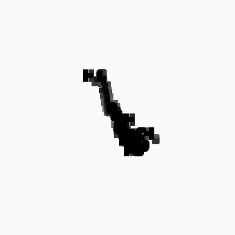 CCCCCCCCCc1ccc(OCC(O)CN2CCN(c3ncc4c(=O)c(C(=O)O)cn(CC)c4n3)CC2)cc1